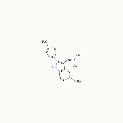 CCCCc1ccc2[nH]c(-c3ccc(C(F)(F)F)cc3)c(C=C(C#N)C#N)c2c1